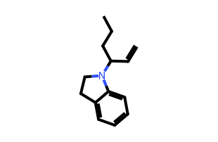 C=CC(CCC)N1CCc2ccccc21